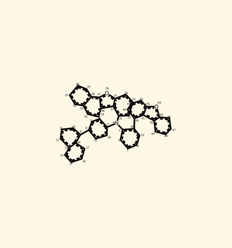 c1ccc(N(c2ccc(-c3cccc4ccccc34)cc2)c2cccc3oc4c5ccccc5ccc4c23)c(-c2cccc3oc4ccccc4c23)c1